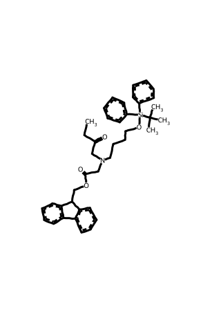 CCC(=O)CN(CCCCO[Si](c1ccccc1)(c1ccccc1)C(C)(C)C)CC(=O)OCC1c2ccccc2-c2ccccc21